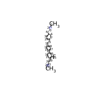 C/C=C/CCc1ccc(CCc2ccc(-c3ccc(CC/C=C/C)c(F)c3)cc2)cc1